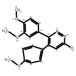 COc1ccc(-c2cc(Cl)nnc2-c2ccc(OC)c(OC)c2)cc1